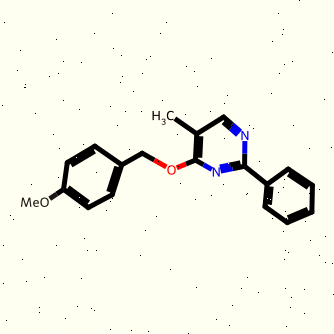 COc1ccc(COc2nc(-c3ccccc3)ncc2C)cc1